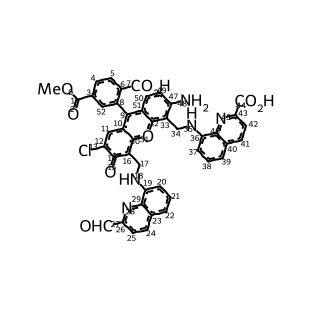 COC(=O)c1ccc(C(=O)O)c(-c2c3cc(Cl)c(=O)c(CNc4cccc5ccc(C=O)nc45)c-3oc3c(CNc4cccc5ccc(C(=O)O)nc45)c(N)ccc23)c1